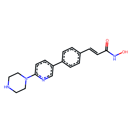 O=C(/C=C/c1ccc(-c2ccc(N3CCNCC3)nc2)cc1)NO